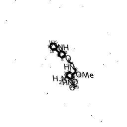 COC(CNCCOc1ccc2c(c1)[nH]c1ccccc12)c1ccc(N)c(NS(C)(=O)=O)c1